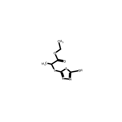 CCOC(=O)C(C)Sc1nnc(S)s1